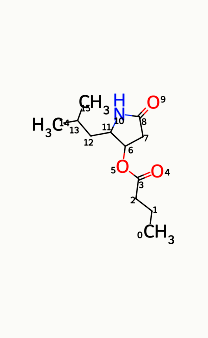 CCCC(=O)OC1CC(=O)NC1CC(C)C